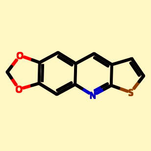 c1cc2cc3cc4c(cc3nc2s1)OCO4